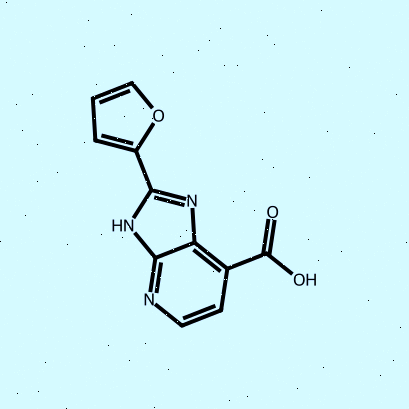 O=C(O)c1ccnc2[nH]c(-c3ccco3)nc12